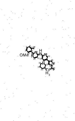 COc1cccc(F)c1-c1nccc(Nc2cc(N3CCC[C@H](C)C3)c(-c3cnn(C(F)F)c3)cn2)n1